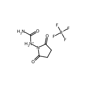 F[B-](F)(F)F.NC(=O)[NH2+]N1C(=O)CCC1=O